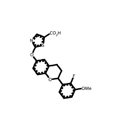 COc1cccc(C2CCc3cc(Oc4ncc(C(=O)O)s4)ccc3O2)c1F